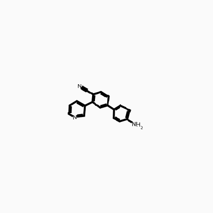 N#Cc1ccc(-c2ccc(N)cc2)cc1-c1cccnc1